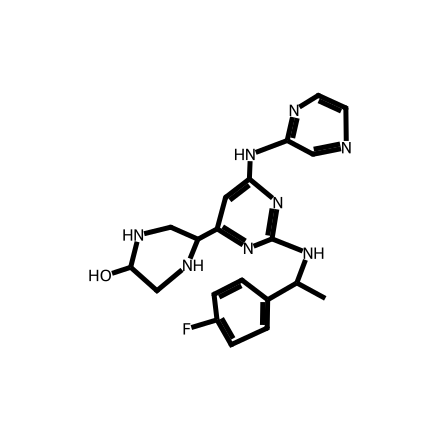 CC(Nc1nc(Nc2cnccn2)cc(C2CNC(O)CN2)n1)c1ccc(F)cc1